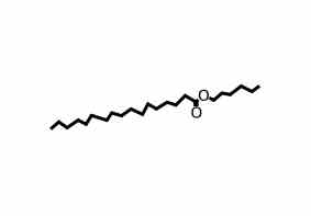 CCCCCCCCCCCCCCCCC(=O)OCCCCCC